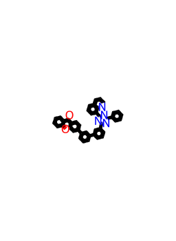 O=c1c2ccccc2oc2cc(-c3cccc(-c4cccc(-c5nc(-c6ccccc6)nc(-c6cccc7cccnc67)n5)c4)c3)ccc12